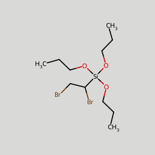 CCCO[Si](OCCC)(OCCC)C(Br)CBr